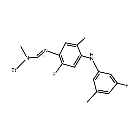 CCN(C)/C=N/c1cc(C)c(Nc2cc(C)cc(F)c2)cc1F